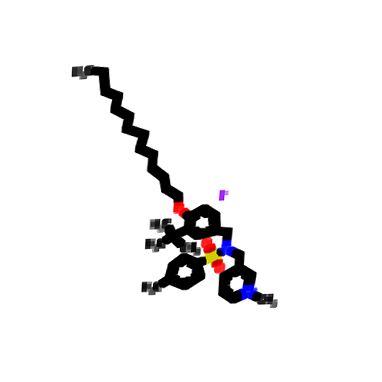 CCCCCCCCCCCCCCOc1ccc(CN(Cc2ccc[n+](C)c2)S(=O)(=O)c2ccc(C)cc2)cc1C(C)(C)C.[I-]